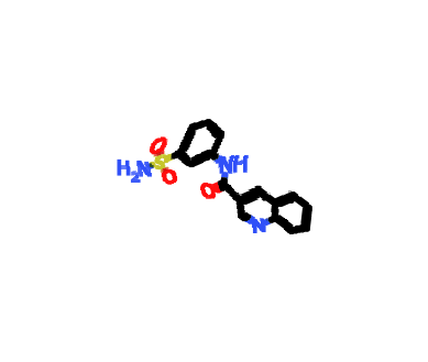 NS(=O)(=O)c1cccc(NC(=O)c2cnc3ccccc3c2)c1